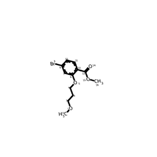 COCCCOc1cc(Br)ccc1C(=O)OC